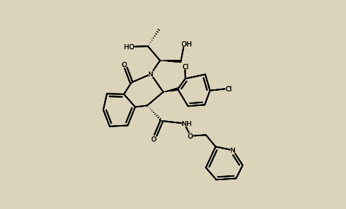 C[C@@H](O)[C@@H](CO)N1C(=O)c2ccccc2[C@@H](C(=O)NOCc2ccccn2)[C@@H]1c1ccc(Cl)cc1Cl